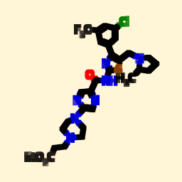 CCOC(=O)CCN1CCN(c2cnc(C(=O)Nc3nc(-c4cc(Cl)cc(C(F)(F)F)c4)c(CN4CCCC4C)s3)cn2)CC1